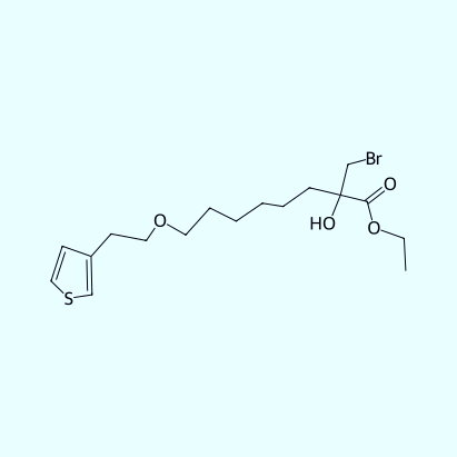 CCOC(=O)C(O)(CBr)CCCCCCOCCc1ccsc1